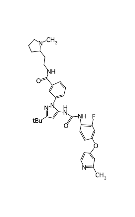 Cc1cc(Oc2ccc(NC(=O)Nc3cc(C(C)(C)C)nn3-c3cccc(C(=O)NCCC4CCCN4C)c3)c(F)c2)ccn1